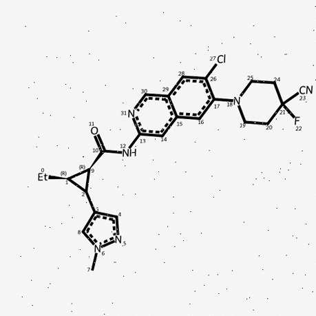 CC[C@@H]1C(c2cnn(C)c2)[C@@H]1C(=O)Nc1cc2cc(N3CCC(F)(C#N)CC3)c(Cl)cc2cn1